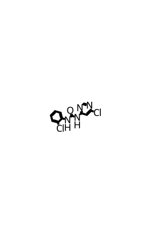 O=C(Nc1cc(Cl)ncn1)Nc1ccccc1Cl